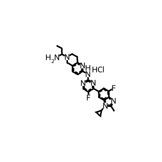 CCC(N)N1CCc2nc(Nc3ncc(F)c(-c4cc(F)c5nc(C)n(C6CC6)c5c4)n3)ccc2C1.Cl